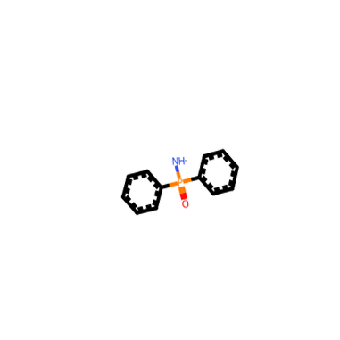 [NH]P(=O)(c1ccccc1)c1ccccc1